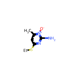 CCSc1cc(C)[n+]([O-])c(N)n1